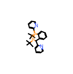 CC(C)(C)PC(c1ccccn1)c1ccccc1P(c1ccccn1)C(C)(C)C